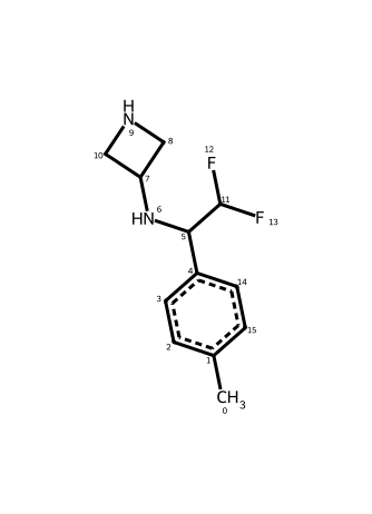 Cc1ccc(C(NC2CNC2)C(F)F)cc1